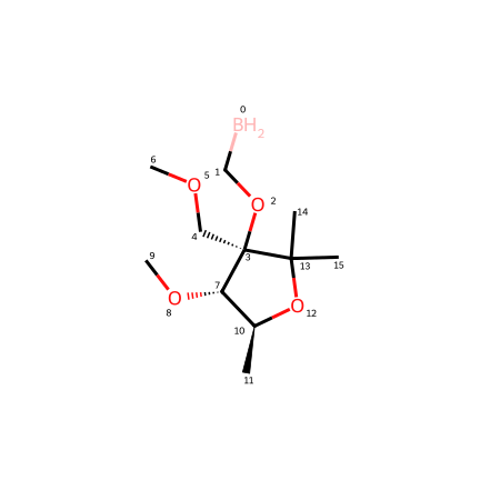 BCO[C@]1(COC)[C@@H](OC)[C@H](C)OC1(C)C